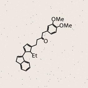 CCC1C(CCC(=O)Cc2ccc(OC)c(OC)c2)=CC=C1C1=CCc2ccccc21